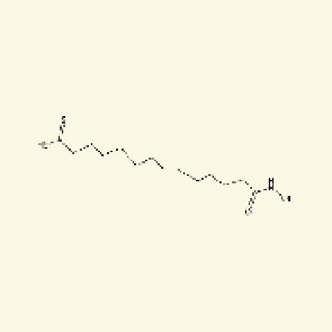 O=C(CCCCCCCCCCCCC(=S)S)NO